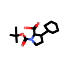 CC(C)(C)OC(=O)N1CCC(C2CCCCC2)C1C(=O)O